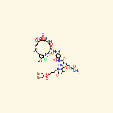 COc1cc(NC(=O)O[C@H]2CC(=O)N(C)c3cc(cc(OC)c3Cl)C/C(C)=C/C=C/[C@@H](OC)[C@@]3(O)C[C@H](OC(=O)N3)[C@@H](C)[C@@H]3O[C@@]23C)ccc1NC(=O)[C@H](CCCNC(N)=O)NC(=O)[C@@H](NC(C=O)CCCCOC(=O)C(CBr)CBr)C(C)C